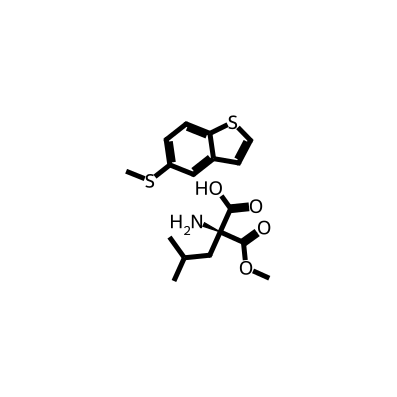 COC(=O)[C@](N)(CC(C)C)C(=O)O.CSc1ccc2sccc2c1